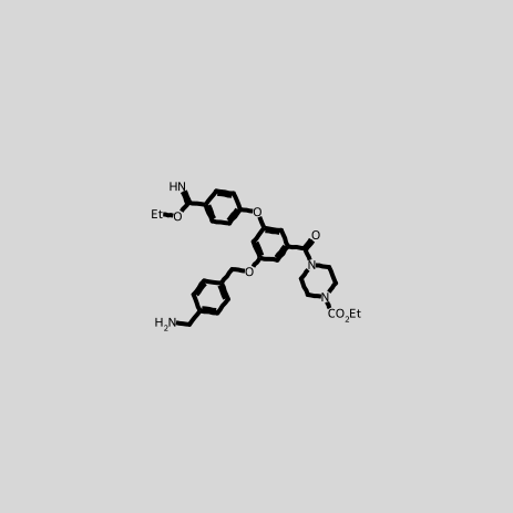 CCOC(=N)c1ccc(Oc2cc(OCc3ccc(CN)cc3)cc(C(=O)N3CCN(C(=O)OCC)CC3)c2)cc1